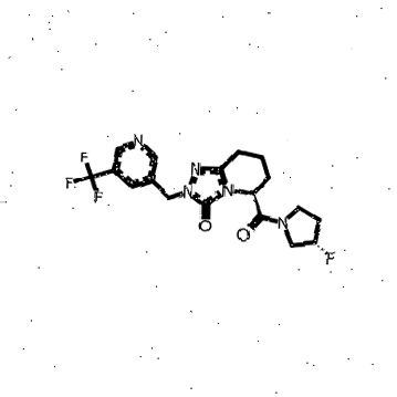 O=C([C@@H]1CCCc2nn(Cc3cncc(C(F)(F)F)c3)c(=O)n21)N1CC[C@H](F)C1